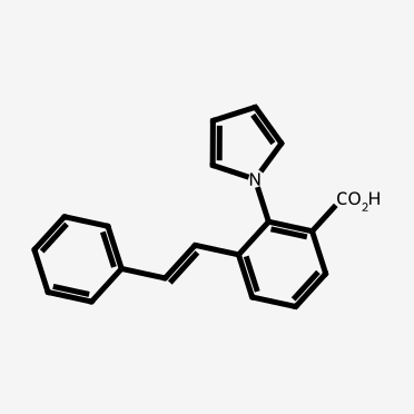 O=C(O)c1cccc(/C=C/c2ccccc2)c1-n1cccc1